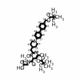 CC1=C(OC(=O)C(C)(C)C)C(C(=O)NCC(=O)O)N(C)C(CC2CCN(c3ccc(-c4ccc(COC(=O)C(C)(C)C)cc4)cc3)CC2)=N1